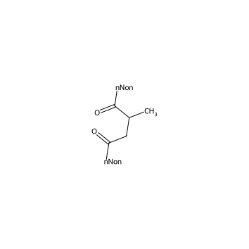 CCCCCCCCCC(=O)CC(C)C(=O)CCCCCCCCC